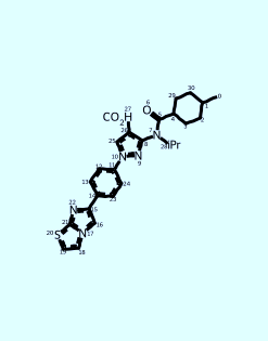 CC1CCC(C(=O)N(c2nn(-c3ccc(-c4cn5ccsc5n4)cc3)cc2C(=O)O)C(C)C)CC1